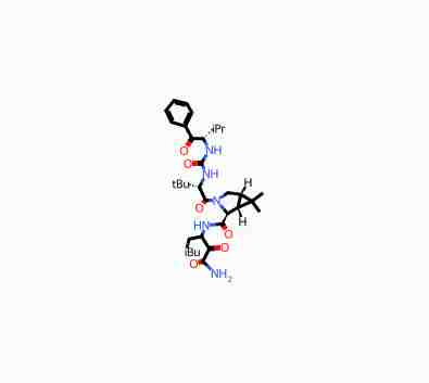 CCC(C)CC(NC(=O)[C@@H]1[C@@H]2[C@H](CN1C(=O)[C@@H](NC(=O)N[C@H](C(=O)c1ccccc1)C(C)C)C(C)(C)C)C2(C)C)C(=O)C(N)=O